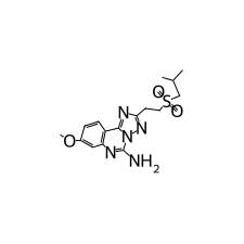 COc1ccc2c(c1)nc(N)n1nc(CCS(=O)(=O)CC(C)C)nc21